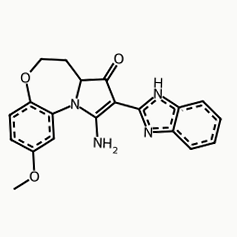 COc1ccc2c(c1)N1C(N)=C(c3nc4ccccc4[nH]3)C(=O)C1CCO2